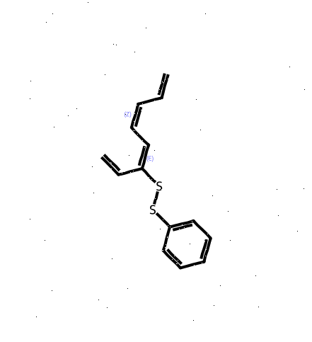 C=C/C=C\C=C(/C=C)SSc1ccccc1